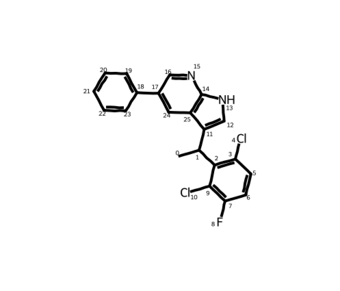 CC(c1c(Cl)ccc(F)c1Cl)c1c[nH]c2ncc(-c3ccccc3)cc12